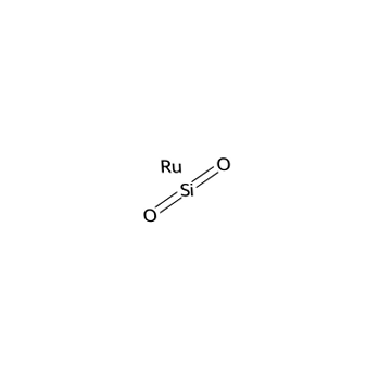 O=[Si]=O.[Ru]